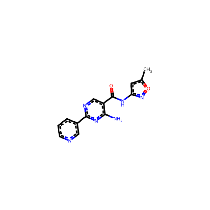 Cc1cc(NC(=O)c2cnc(-c3cccnc3)nc2N)no1